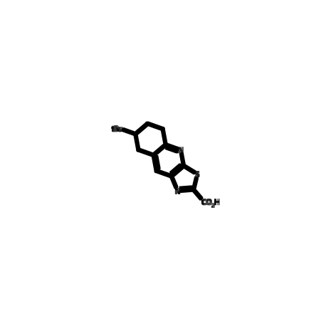 CC(C)(C)C1CCc2nc3sc(C(=O)O)nc3cc2C1